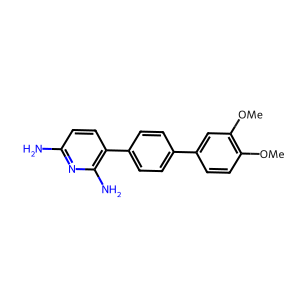 COc1ccc(-c2ccc(-c3ccc(N)nc3N)cc2)cc1OC